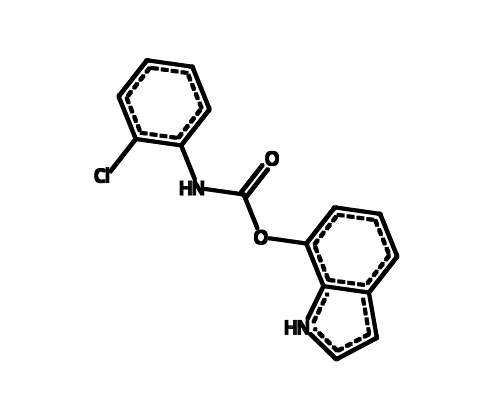 O=C(Nc1ccccc1Cl)Oc1cccc2cc[nH]c12